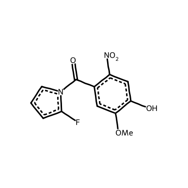 COc1cc(C(=O)n2cccc2F)c([N+](=O)[O-])cc1O